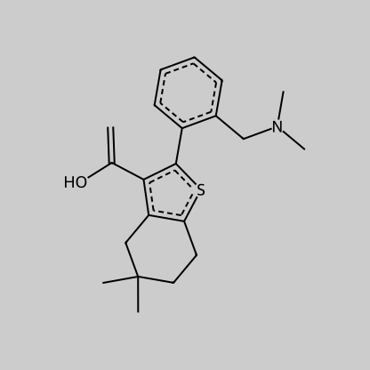 C=C(O)c1c(-c2ccccc2CN(C)C)sc2c1CC(C)(C)CC2